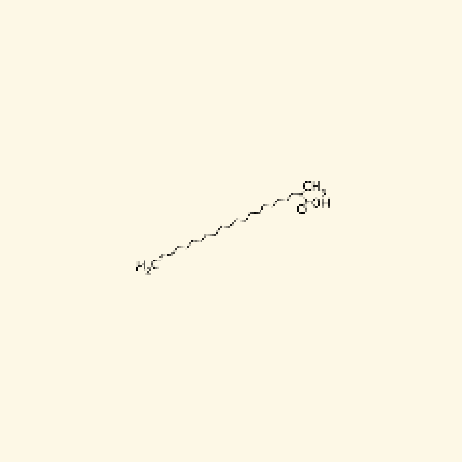 C=CCCCCCCCCCCCCCCCCCC=C(C)C(=O)O